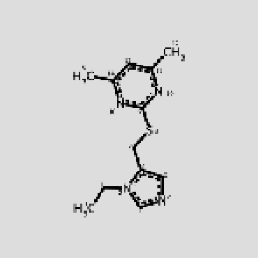 CCn1cncc1CSc1nc(C)cc(C)n1